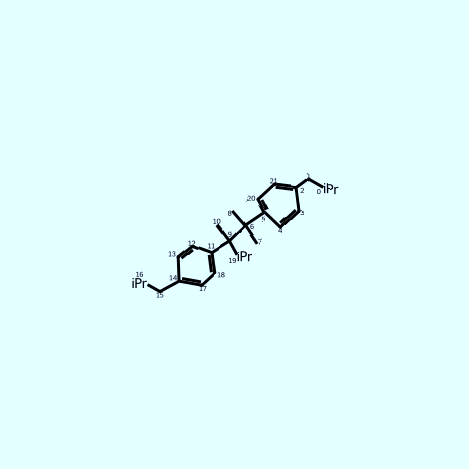 CC(C)Cc1ccc(C(C)(C)C(C)(c2ccc(CC(C)C)cc2)C(C)C)cc1